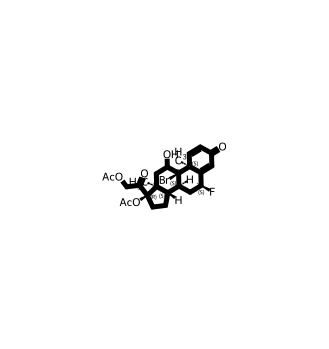 CC(=O)OCC(=O)[C@@]1(OC(C)=O)CC[C@H]2[C@@H]3C[C@H](F)C4=CC(=O)C=C[C@]4(C)[C@@]3(Br)C(O)C[C@@]21C